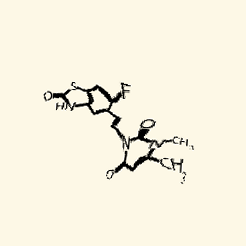 Cc1cc(=O)n(C=Cc2cc3[nH]c(=O)sc3cc2F)c(=O)n1C